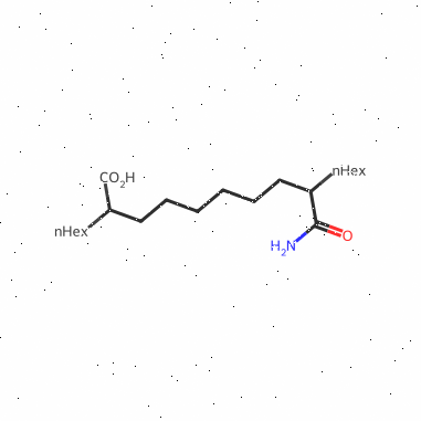 CCCCCCC(CCCCCCC(CCCCCC)C(=O)O)C(N)=O